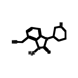 Cn1c(=O)n(C2CCCNC2)c2cccc(CO)c21